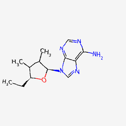 CC[C@@H]1O[C@H](n2cnc3c(N)ncnc32)C(C)C1C